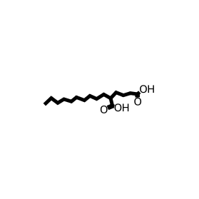 CCCCCCCCCCC(CCCC(=O)O)C(=O)O